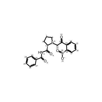 O=C(NC(=O)[C@H]1CCCN1CC(=O)c1ccccc1[N+](=O)[O-])c1ccccc1